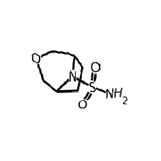 NS(=O)(=O)N1C2CCC1COC2